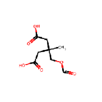 CC(COC=O)(CC(=O)O)CC(=O)O